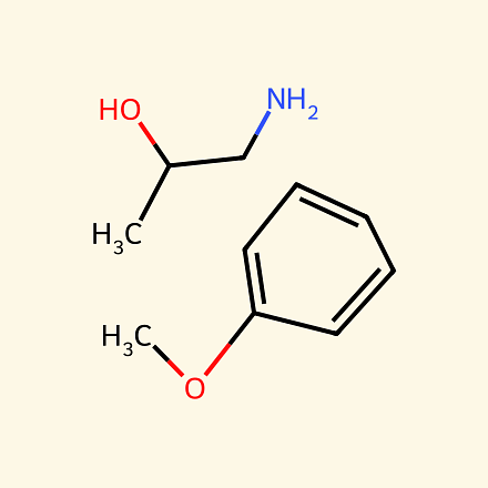 CC(O)CN.COc1ccccc1